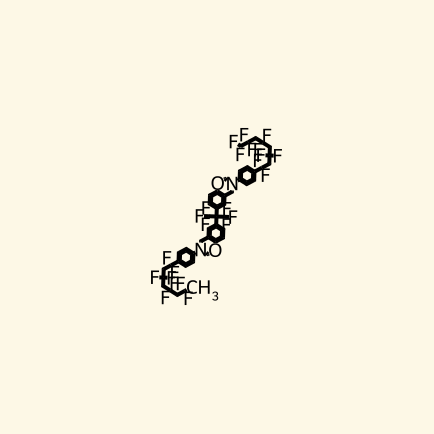 CC(F)(F)CC(F)(F)CC(F)(F)CC(F)(F)c1ccc(N2COc3ccc(C(c4ccc5c(c4)CN(c4ccc(C(F)(F)CC(F)(F)CC(F)(F)CC(F)(F)C(F)F)cc4)CO5)(C(F)(F)F)C(F)(F)F)cc3C2)cc1